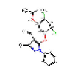 C=Cc1c(C)nn(-c2ccccc2)c1Oc1cc(O[C@@H](C)C(=O)O)c(Cl)cc1Cl